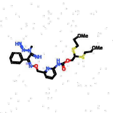 COCCSC(COC(=O)Nc1cccc(CO/N=C(\C(=N)N(C)N=N)c2ccccc2)n1)SCCOC